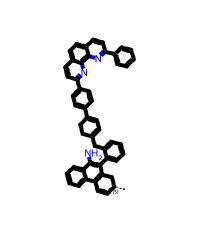 C[C@@H]1C=Cc2c(c(-c3ccccc3CC3=CC=C(c4ccc(-c5ccc6ccc7ccc(-c8ccccc8)nc7c6n5)cc4)CC3)c(N)c3ccccc23)C1